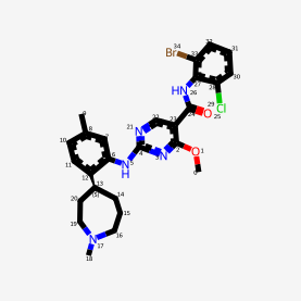 COc1nc(Nc2cc(C)ccc2[C@H]2CCCN(C)CC2)ncc1C(=O)Nc1c(Cl)cccc1Br